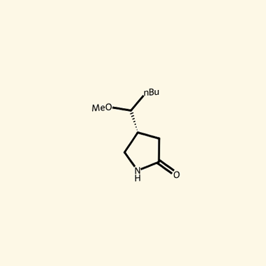 CCCCC(OC)[C@H]1CNC(=O)C1